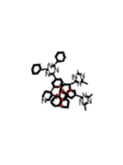 Cc1nc(C)nc(-c2ccc3c(c2)c2ccccc2n3-c2ccc(-c3nc(-c4ccccc4)nc(-c4ccccc4)n3)cc2-c2ccncc2-n2c3ccccc3c3cc(-c4nc(C)nc(C)n4)ccc32)n1